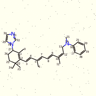 CC1=C(/C=C/C(C)=C/C=C/C(C)=C\CN(C)c2ccccc2)C(C)(C)CCC1n1ccnc1